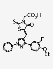 CCOc1ccc(-c2nn(-c3ccccc3)cc2C=C2SC(=S)N(CC(=O)O)C2=O)cc1F